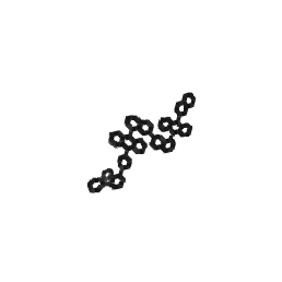 c1ccc2cc(-c3c4ccccc4c(-c4cccc5ccc(-c6ccc7cccc(-c8c9ccccc9c(-c9ccc(-c%10cccc%11c%10oc%10ccccc%10%11)cc9)c9ccccc89)c7c6)cc45)c4ccccc34)ccc2c1